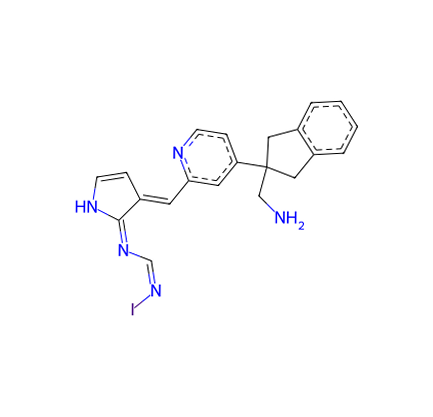 NCC1(c2ccnc(\C=C3/C=CN/C3=N/C=N\I)c2)Cc2ccccc2C1